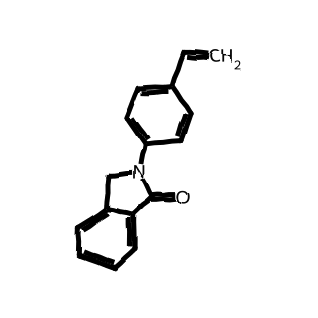 C=Cc1ccc(N2Cc3ccccc3C2=O)cc1